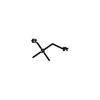 C[CH][Si](C)(C)CC(C)C